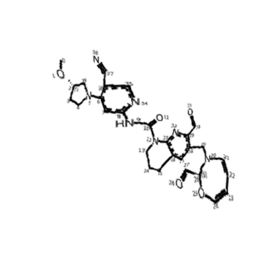 CO[C@H]1CCN(c2cc(NC(=O)N3CCCc4cc(CN5C=CC=CO[C@H]5C=O)c(C=O)nc43)ncc2C#N)C1